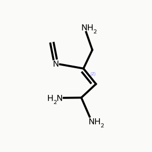 C=N/C(=C\C(N)N)CN